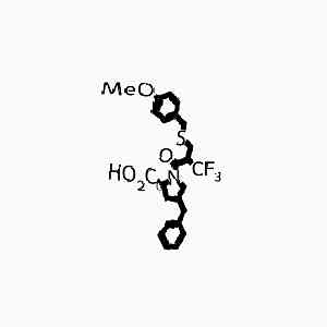 COc1ccc(CSCC(C(=O)N2CC(Cc3ccccc3)C[C@H]2C(=O)O)C(F)(F)F)cc1